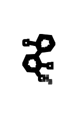 Cc1cccc(-c2ccccc2Cl)c1Cl